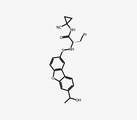 CC(C)C[C@H](NSc1ccc2oc3cc(C(C)O)ccc3c2c1)C(=O)NC1(C#N)CC1